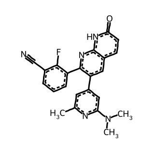 Cc1cc(-c2cc3ccc(=O)[nH]c3nc2-c2cccc(C#N)c2F)cc(N(C)C)n1